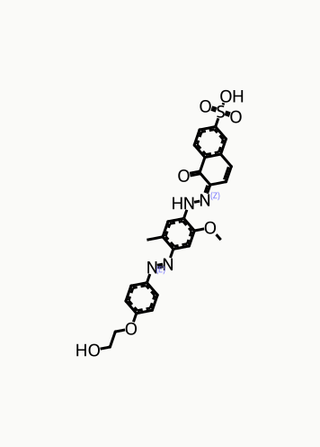 COc1cc(/N=N/c2ccc(OCCO)cc2)c(C)cc1N/N=C1/C=Cc2cc(S(=O)(=O)O)ccc2C1=O